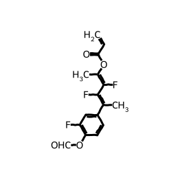 C=CC(=O)O/C(C)=C(F)/C(F)=C(\C)c1ccc(OC=O)c(F)c1